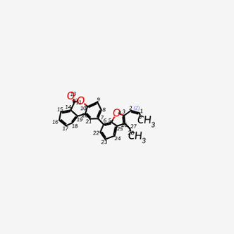 C/C=C\c1oc2c(-c3ccc4oc(=O)c5ccccc5c4c3)cccc2c1CC